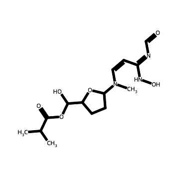 CC(C)C(=O)OC(O)C1CCC(N(C)/C=C\C(=N/C=O)NO)O1